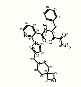 NC(=O)C(=O)C(Cc1ccccc1)NC(=O)c1cccnc1-n1ccc(CN2CCC3(CC2)COC3)n1